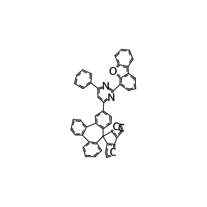 c1ccc(-c2cc(-c3ccc4c(c3)-c3ccccc3-c3ccccc3C43c4ccccc4-c4ccccc43)nc(-c3cccc4c3oc3ccccc34)n2)cc1